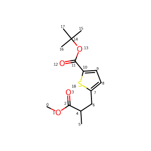 COC(=O)C(C)Cc1ccc(C(=O)OC(C)(C)C)s1